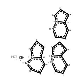 Cl.Cl.c1cnn2cccc2c1.c1cnn2cccc2c1.c1cnn2cccc2c1